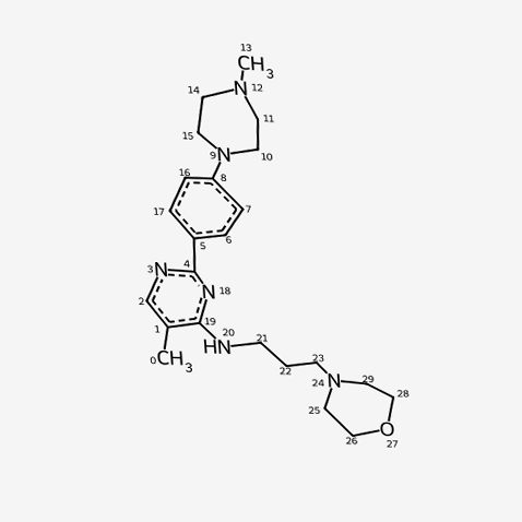 Cc1cnc(-c2ccc(N3CCN(C)CC3)cc2)nc1NCCCN1CCOCC1